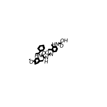 COc1ccc(C[C@H](NC2=Nc3ccc(NC(=O)O)c(C)c3CO2)C(=O)NC(C)c2ccccc2)cc1